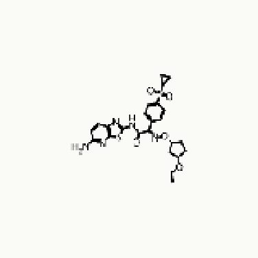 CCO[C@@H]1CC[C@@H](O/N=C(/C(=O)Nc2nc3ccc(N)nc3s2)c2ccc(S(=O)(=O)C3CC3)cc2)C1